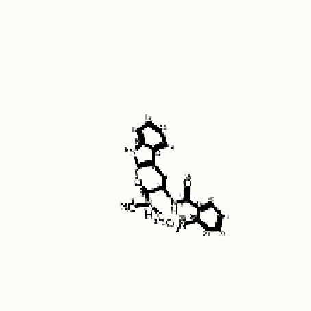 CN(C#N)C(=O)C(Cc1csc2ccccc12)NC(=O)c1ccccc1[N+](=O)[O-]